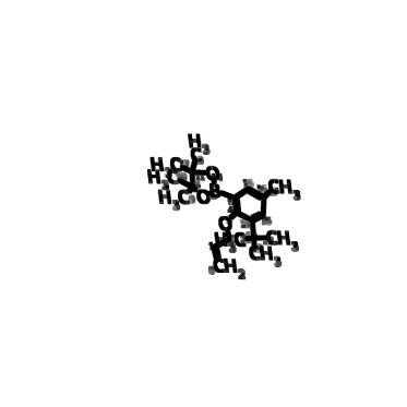 C=CCOc1c(B2OC(C)(C)C(C)(C)O2)cc(C)cc1C(C)(C)C